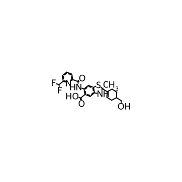 CC1(C2CCC(CO)CC2)Nc2cc(C(=O)O)c(NC(=O)c3cccc(C(F)F)n3)cc2S1